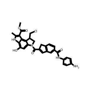 COC(=O)c1c(C)[nH]c2c(O)cc3c(c12)C(CCl)CN3C(=O)C1=Cc2cc(C(=O)Nc3ccc(N)cc3)ccc2C1